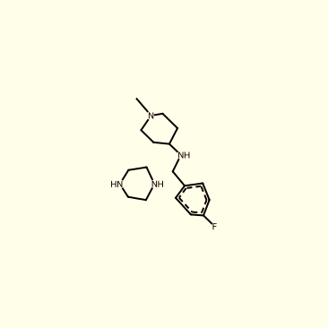 C1CNCCN1.CN1CCC(NCc2ccc(F)cc2)CC1